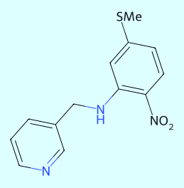 CSc1ccc([N+](=O)[O-])c(NCc2cccnc2)c1